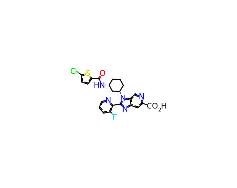 O=C(O)c1cc2nc(-c3ncccc3F)n([C@H]3CCC[C@@H](NC(=O)c4ccc(Cl)s4)C3)c2cn1